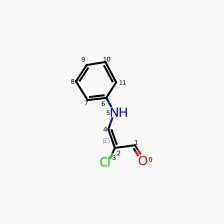 O=C/C(Cl)=C\Nc1ccccc1